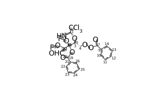 N=C(O[C@H](COOC(=O)c1ccccc1)[C@](OF)(OC(=O)c1ccccc1)[C@H](C=O)OF)C(Cl)(Cl)Cl